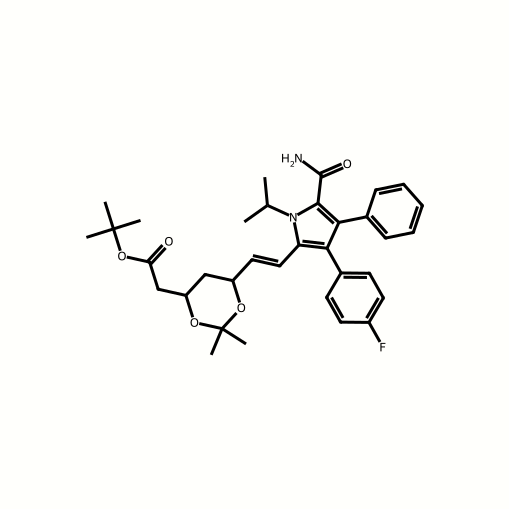 CC(C)n1c(C=CC2CC(CC(=O)OC(C)(C)C)OC(C)(C)O2)c(-c2ccc(F)cc2)c(-c2ccccc2)c1C(N)=O